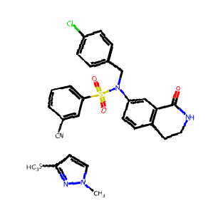 Cn1ccc(S(=O)(=O)O)n1.N#Cc1cccc(S(=O)(=O)N(Cc2ccc(Cl)cc2)c2ccc3c(c2)C(=O)NCC3)c1